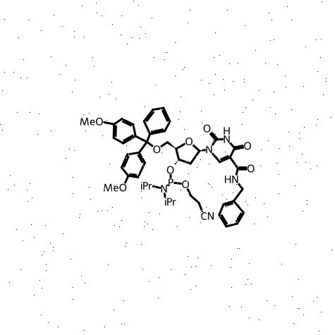 COc1ccc(C(OC[C@H]2O[C@@H](n3cc(C(=O)NCc4ccccc4)c(=O)[nH]c3=O)C[C@@H]2OP(OCCC#N)N(C(C)C)C(C)C)(c2ccccc2)c2ccc(OC)cc2)cc1